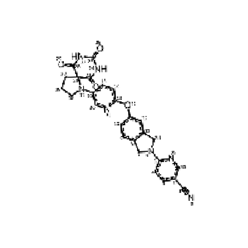 N#Cc1ccc(N2Cc3ccc(Oc4ccc(N5CCCC56C(=O)NC(=O)NC6=O)cn4)cc3C2)nc1